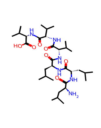 CC(C)C[C@H](NC(=O)[C@H](CC(C)C)NC(=O)[C@@H](N)CC(C)C)C(=O)N[C@H](C(=O)N[C@H](C(=O)N[C@H](C(=O)O)C(C)C)C(C)C)C(C)C